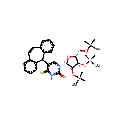 CC(C)(C)[Si](C)(C)OC[C@H]1O[C@@H](n2cc(C3c4ccccc4C=Cc4ccccc43)c(=S)[nH]c2=O)[C@H](O[Si](C)(C)C(C)(C)C)[C@@H]1O[Si](C)(C)C(C)(C)C